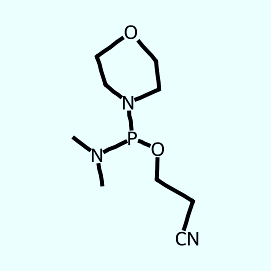 CN(C)P(OCCC#N)N1CCOCC1